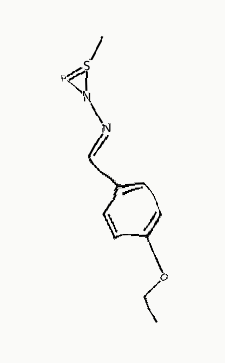 CCOc1ccc(C=NN2P=S2C)cc1